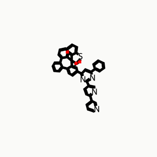 c1ccc(-c2cc(-c3ccc4c(c3)C3(c5ccccc5Sc5ccccc53)c3ccccc3-c3ccccc3-4)nc(-c3ccc(-c4cccnc4)nc3)n2)cc1